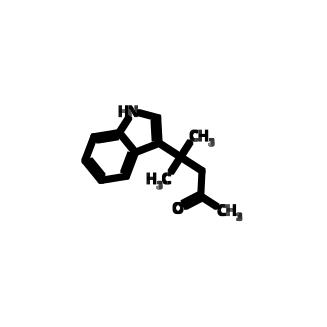 CC(=O)CC(C)(C)c1c[nH]c2ccccc12